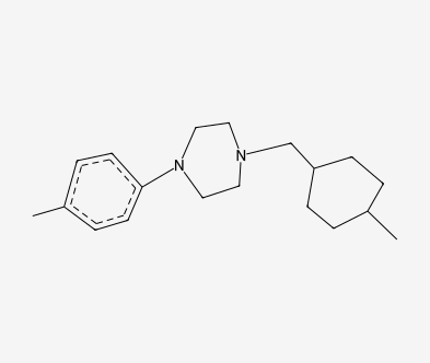 Cc1ccc(N2CCN(CC3CCC(C)CC3)CC2)cc1